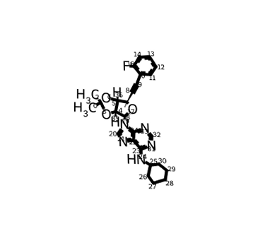 CC1(C)O[C@@H]2[C@H](O1)[C@@H](C#Cc1ccccc1F)O[C@H]2n1cnc2c(NC3CCCCC3)ncnc21